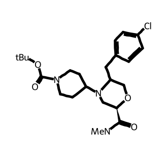 CNC(=O)[C@H]1CN(C2CCN(C(=O)OC(C)(C)C)CC2)C(Cc2ccc(Cl)cc2)CO1